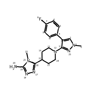 Cn1cc(-c2ccc(F)cc2)c(N2CCC(c3nnc(N)n3C)CC2)n1